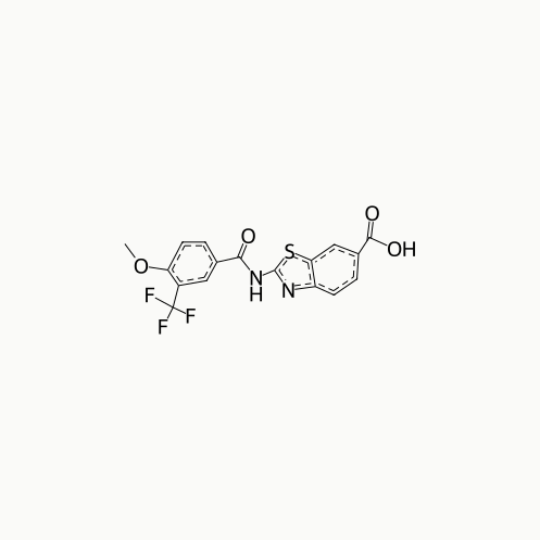 COc1ccc(C(=O)Nc2nc3ccc(C(=O)O)cc3s2)cc1C(F)(F)F